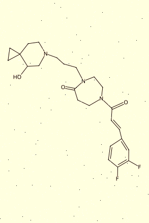 O=C(C=Cc1ccc(F)c(F)c1)N1CCC(=O)N(CCCN2CCC3(CC3)C(O)C2)CC1